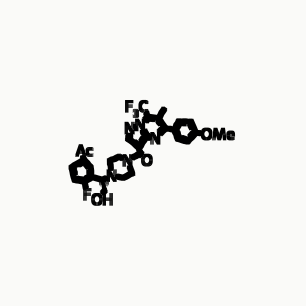 COc1ccc(-c2nc3c(C(=O)N4CCN([C@@H](CO)c5cc(C(C)=O)ccc5F)CC4)cnn3c(C(F)(F)F)c2C)cc1